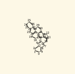 c1ccc2cc3c(cc2c1)c1ccc2c(c1)c3c1ccc3cc4ccccc4c4ccc2c1c34